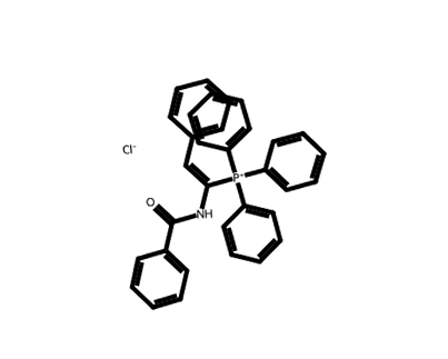 O=C(N/C(=C/c1ccccc1)[P+](c1ccccc1)(c1ccccc1)c1ccccc1)c1ccccc1.[Cl-]